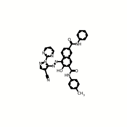 Cc1ccc(NC(=O)c2cc3cc(C(=O)Nc4ccccc4)ccc3c(/N=N/c3c(C#N)cnn3-c3ncccn3)c2O)cc1